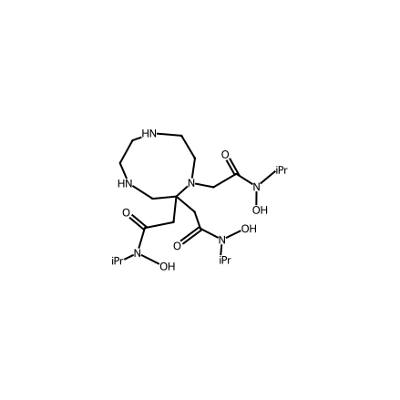 CC(C)N(O)C(=O)CN1CCNCCNCC1(CC(=O)N(O)C(C)C)CC(=O)N(O)C(C)C